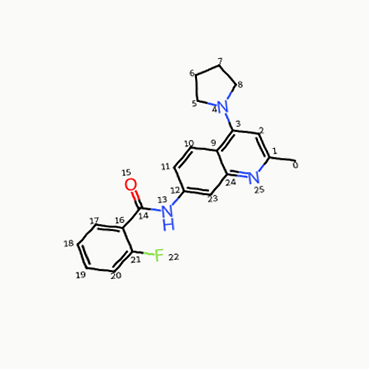 Cc1cc(N2CCCC2)c2ccc(NC(=O)c3ccccc3F)cc2n1